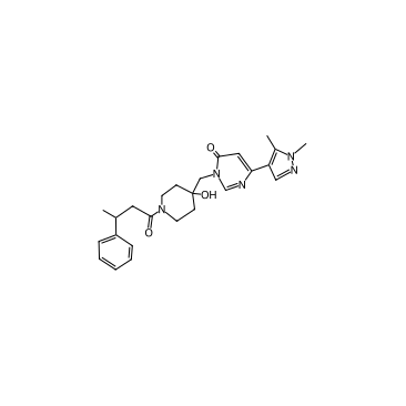 Cc1c(-c2cc(=O)n(CC3(O)CCN(C(=O)CC(C)c4ccccc4)CC3)cn2)cnn1C